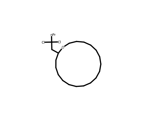 [CH2]CCC(Cl)(Cl)C[C]1CCCCCCCCCCCCCCCCCO1